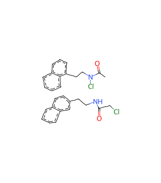 CC(=O)N(Cl)CCc1cccc2ccccc12.O=C(CCl)NCCc1ccc2ccccc2c1